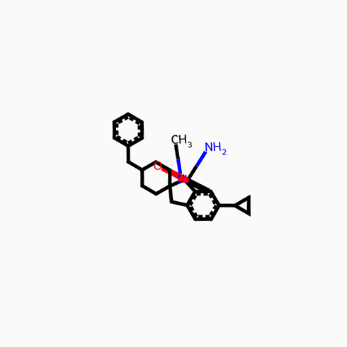 CN1C(=O)C2(N=C1N)c1cc(C3CC3)ccc1CC21CCC(Cc2ccccc2)CC1